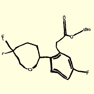 CC(C)(C)OC(=O)Cc1cc(F)ccc1C1CCC(F)(F)CO1